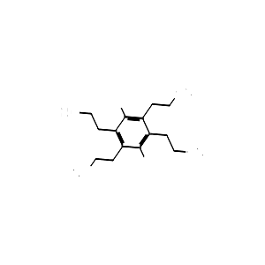 N#CCCc1c(F)c(CCC#N)c(CCC#N)c(F)c1CCC#N